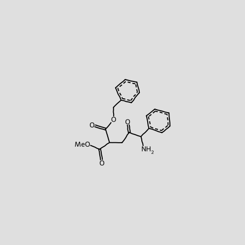 COC(=O)C(CC(=O)C(N)c1ccccc1)C(=O)OCc1ccccc1